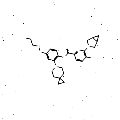 COc1ccc(C(=O)Nc2ccc(SNCCO)cc2N2CCC3(CC2)CC3)nc1N1CC2CC2C1